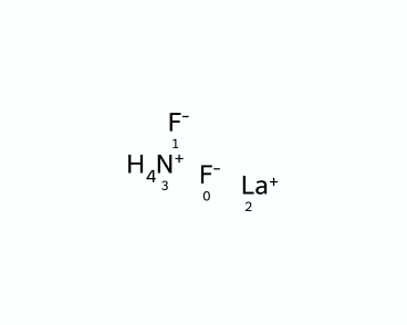 [F-].[F-].[La+].[NH4+]